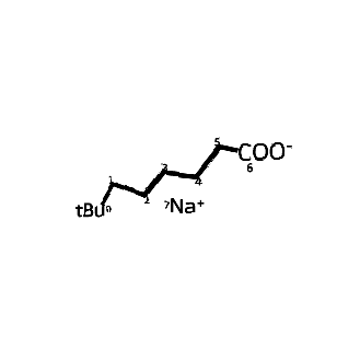 CC(C)(C)CCCCCC(=O)[O-].[Na+]